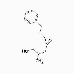 CC(CO)CC1CN1CCc1ccccc1